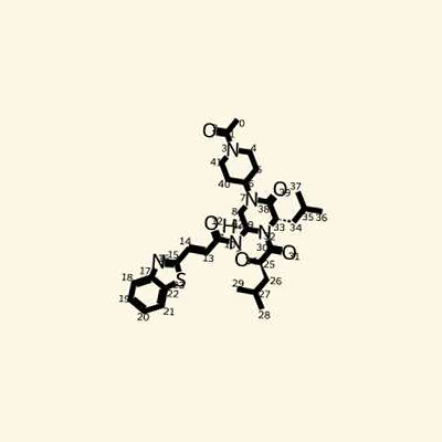 CC(=O)N1CCC(N2C[C@@H]3N(C(=O)/C=C/c4nc5ccccc5s4)O[C@H](CC(C)C)C(=O)N3[C@@H](CC(C)C)C2=O)CC1